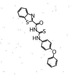 O=C(NC(=S)Nc1ccc(Oc2ccccc2)cc1)c1nc2ccccc2s1